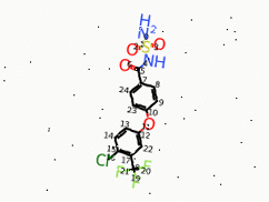 NS(=O)(=O)NC(=O)c1ccc(Oc2ccc(Cl)c(C(F)(F)F)c2)cc1